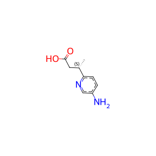 C[C@@H](CC(=O)O)c1ccc(N)cn1